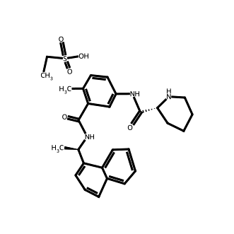 CCS(=O)(=O)O.Cc1ccc(NC(=O)[C@H]2CCCCN2)cc1C(=O)N[C@H](C)c1cccc2ccccc12